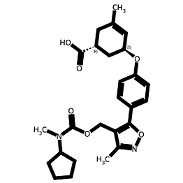 CC1=C[C@@H](Oc2ccc(-c3onc(C)c3COC(=O)N(C)C3CCCC3)cc2)C[C@H](C(=O)O)C1